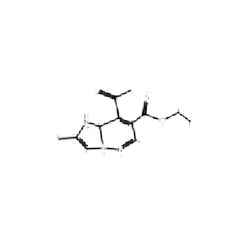 C=C(C)C1=C(C(=O)OCC)C=NN2C=C(C)NC12